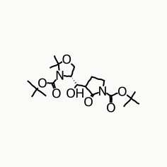 CC(C)(C)OC(=O)N1CCC(C(O)[C@H]2COC(C)(C)N2C(=O)OC(C)(C)C)C1=O